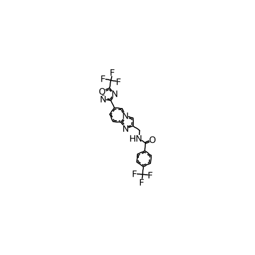 O=C(NCc1cn2cc(-c3noc(C(F)(F)F)n3)ccc2n1)c1ccc(C(F)(F)F)cc1